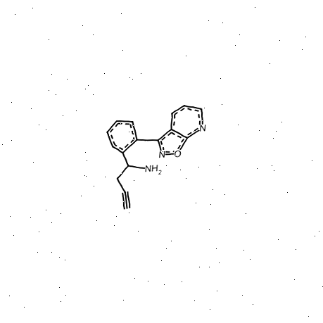 C#CCC(N)c1ccccc1-c1noc2ncccc12